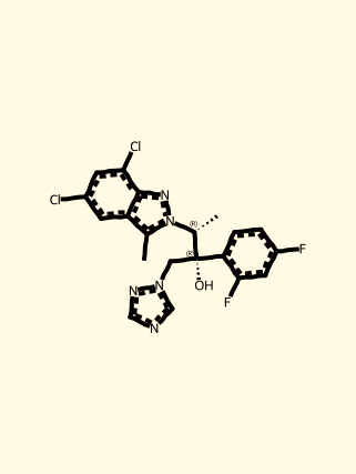 Cc1c2cc(Cl)cc(Cl)c2nn1[C@H](C)[C@](O)(Cn1cncn1)c1ccc(F)cc1F